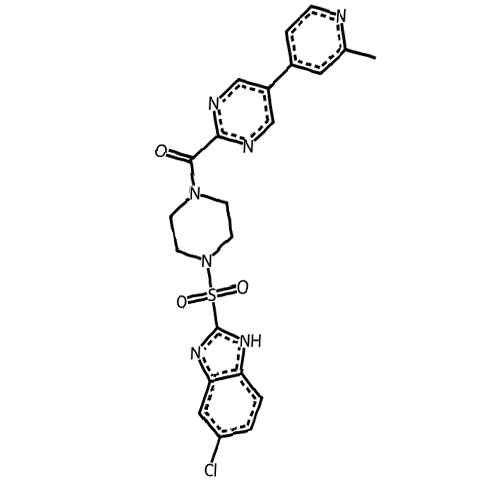 Cc1cc(-c2cnc(C(=O)N3CCN(S(=O)(=O)c4nc5cc(Cl)ccc5[nH]4)CC3)nc2)ccn1